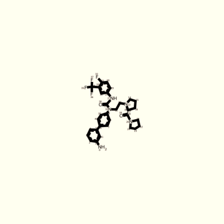 Nc1cccc(-c2ccc(N(CCN3CCC[C@@H]3C(=O)N3CCCC3)C(=O)Nc3ccc(F)c(C(F)(F)F)c3)cc2)c1